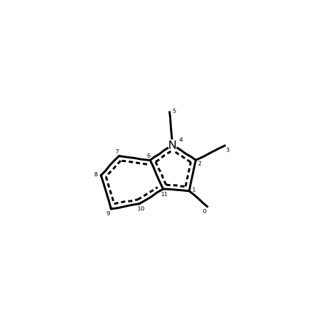 Cc1c(C)n(C)c2ccccc12